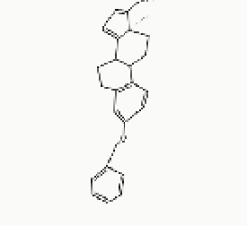 CC(=O)OC1=CC=C2C3CCc4cc(OCc5ccccc5)ccc4C3CC[C@]12C